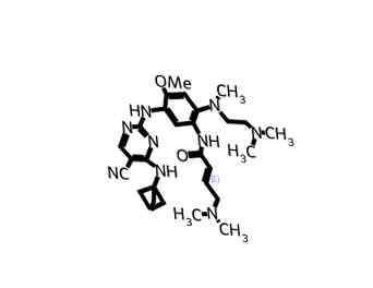 COc1cc(N(C)CCN(C)C)c(NC(=O)/C=C/CN(C)C)cc1Nc1ncc(C#N)c(NC23CC(C2)C3)n1